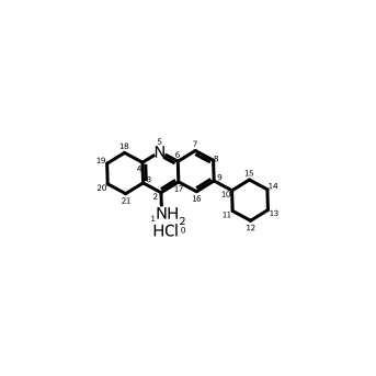 Cl.Nc1c2c(nc3ccc(C4CCCCC4)cc13)CCCC2